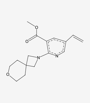 C=Cc1cnc(N2CC3(CCOCC3)C2)c(C(=O)OC)c1